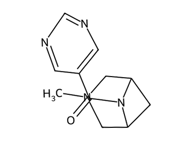 CN1CC2CC(C1)N2C(=O)c1cncnc1